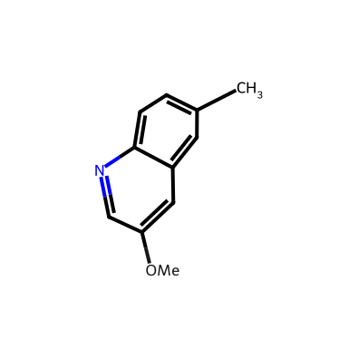 COc1cnc2ccc(C)cc2c1